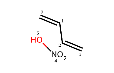 C=CC=C.O=[N+]([O-])O